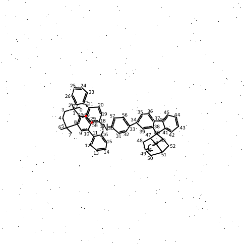 CC1(C)CCC(C)(C)c2cc(-c3ccccc3N(c3ccc(-c4ccccc4)cc3)c3ccc(-c4ccc5c(c4)C4(c6ccccc6-5)C5CC6CC7CC4C75C6)cc3)ccc21